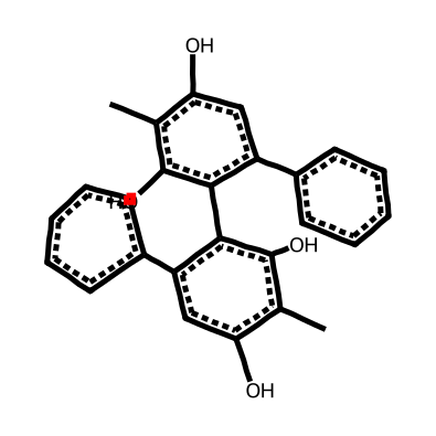 Cc1c(O)cc(-c2ccccc2)c(-c2c(-c3ccccc3)cc(O)c(C)c2O)c1O